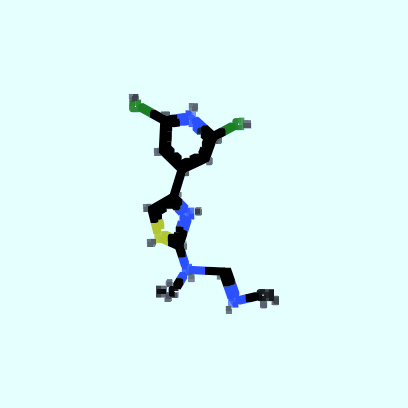 CN=CN(C)c1nc(-c2cc(Cl)nc(Cl)c2)cs1